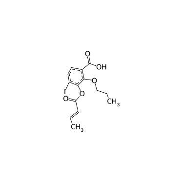 CC=CC(=O)Oc1c(I)ccc(C(=O)O)c1OCCC